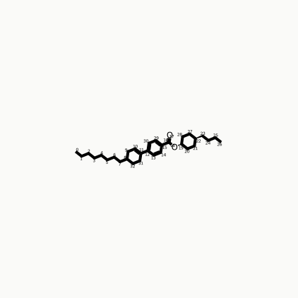 CCCCCCCCC1CC=C(c2ccc(C(=O)O[C@H]3CC[C@H](CCCC)CC3)cc2)CC1